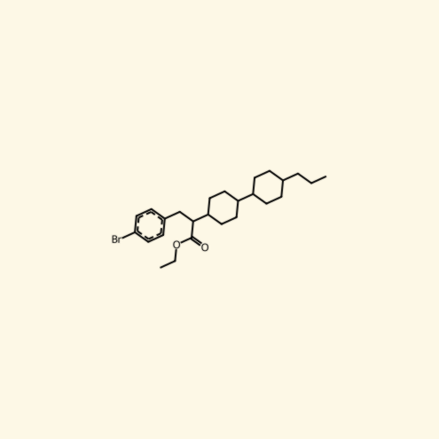 CCCC1CCC(C2CCC(C(Cc3ccc(Br)cc3)C(=O)OCC)CC2)CC1